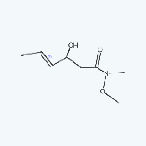 C/C=C/C(O)CC(=O)N(C)OC